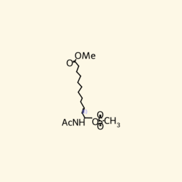 COC(=O)CCCCCCCC/C=C/C(COS(C)(=O)=O)NC(C)=O